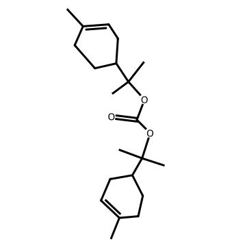 CC1=CCC(C(C)(C)OC(=O)OC(C)(C)C2CC=C(C)CC2)CC1